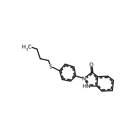 CCCCSc1ccc(-n2[nH]c3ccccc3c2=O)cc1